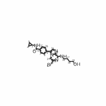 O=C(NC1CC1)c1ccc(-c2cnc3c(NCCCCO)nc(Br)cn23)cc1